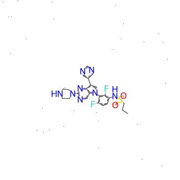 CCCS(=O)(=O)Nc1ccc(F)c(-n2cc(-c3cncnc3)c3nc(N4CCNCC4)ncc32)c1F